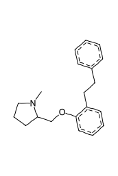 CN1CCCC1COc1ccccc1CCc1ccccc1